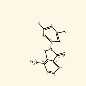 Cc1cc(C)cc(N2Cc3c(N)cccc3C2=O)c1